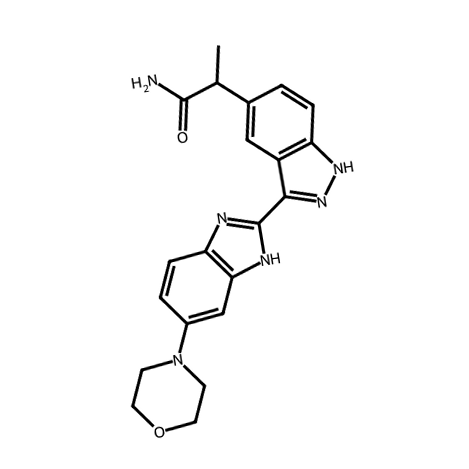 CC(C(N)=O)c1ccc2[nH]nc(-c3nc4ccc(N5CCOCC5)cc4[nH]3)c2c1